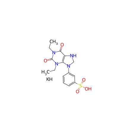 CCn1c2c(c(=O)n(CC)c1=O)NCN2c1cccc(S(=O)(=O)O)c1.[KH]